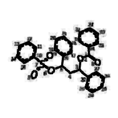 O=C(OC(CC(OS(=O)(=O)c1ccccc1)c1ccccc1)c1ccccc1)c1ccccc1